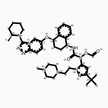 C[C@H]1CCCCN1c1nnc2ccc(O[C@@H]3CC[C@H](NC(=O)N(OC=O)c4cc(C(C)(C)C)nn4CCN4CCN(C)CC4)c4ccccc43)cn12